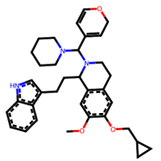 COc1cc2c(cc1OCC1CC1)CCN(C(C1=CCOC=C1)N1CCCCC1)C2CCc1c[nH]c2ccccc12